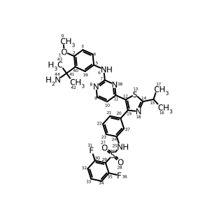 COc1ccc(Nc2nccc(-c3sc(C(C)C)nc3-c3cccc(NS(=O)(=O)c4c(F)cccc4F)c3)n2)cc1C(C)(C)N